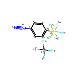 F[B-](F)(F)F.N#[N+]c1ccc(S(F)(F)(F)(F)F)cc1